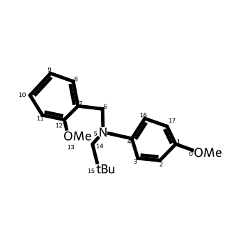 COc1ccc(N(Cc2ccccc2OC)CC(C)(C)C)cc1